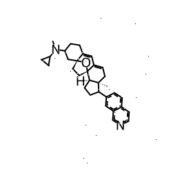 CN(C1CC1)C1CCC2=CC3=CC[C@@]4(C)C(c5ccc6ccncc6c5)CC[C@H]4[C@@]34CC[C@]2(C1)O4